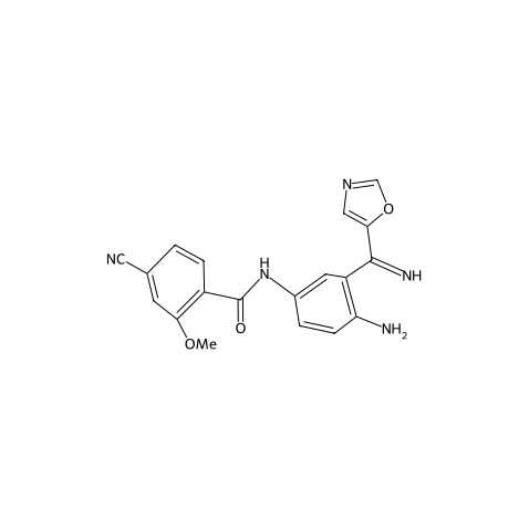 COc1cc(C#N)ccc1C(=O)Nc1ccc(N)c(C(=N)c2cnco2)c1